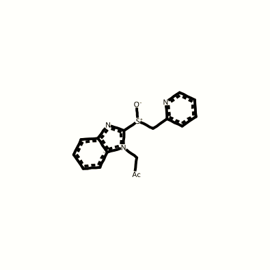 CC(=O)Cn1c([S+]([O-])Cc2ccccn2)nc2ccccc21